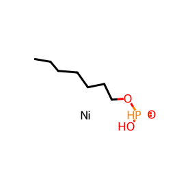 CCCCCCCO[PH](=O)O.[Ni]